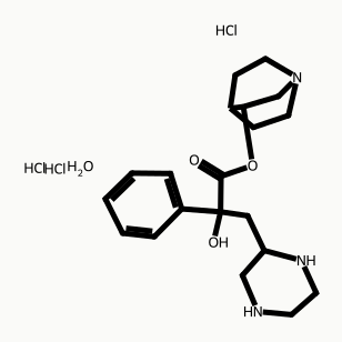 Cl.Cl.Cl.O.O=C(OC1CN2CCC1CC2)C(O)(CC1CNCCN1)c1ccccc1